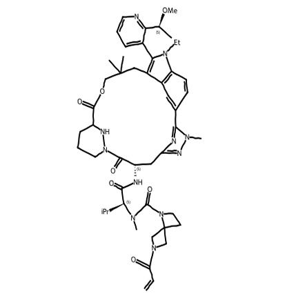 C=CC(=O)N1CC2(CCN2C(=O)N(C)[C@H](C(=O)N[C@H]2Cc3nc(n(C)n3)-c3ccc4c(c3)c(c(-c3cccnc3[C@H](C)OC)n4CC)CC(C)(C)COC(=O)C3CCCN(N3)C2=O)C(C)C)C1